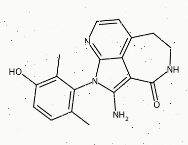 Cc1ccc(O)c(C)c1-n1c(N)c2c3c(ccnc31)CCNC2=O